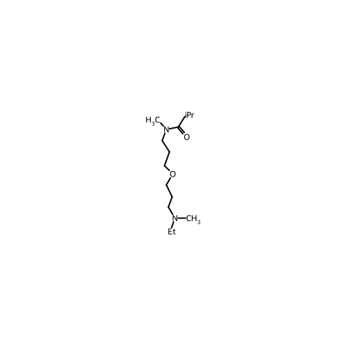 CCN(C)CCCOCCCN(C)C(=O)C(C)C